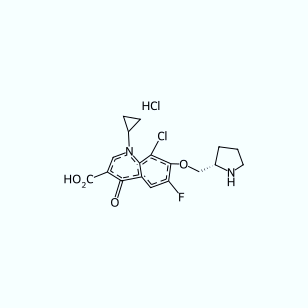 Cl.O=C(O)c1cn(C2CC2)c2c(Cl)c(OC[C@@H]3CCCN3)c(F)cc2c1=O